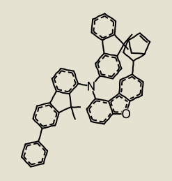 CC1(C)c2ccccc2-c2cc(N(c3cccc4c3C(C)(C)c3cc(-c5ccccc5)ccc3-4)c3cccc4oc5ccc(C6CC7C=CC6C7)cc5c34)ccc21